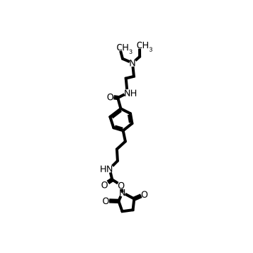 CCN(CC)CCNC(=O)c1ccc(CCCNC(=O)ON2C(=O)CCC2=O)cc1